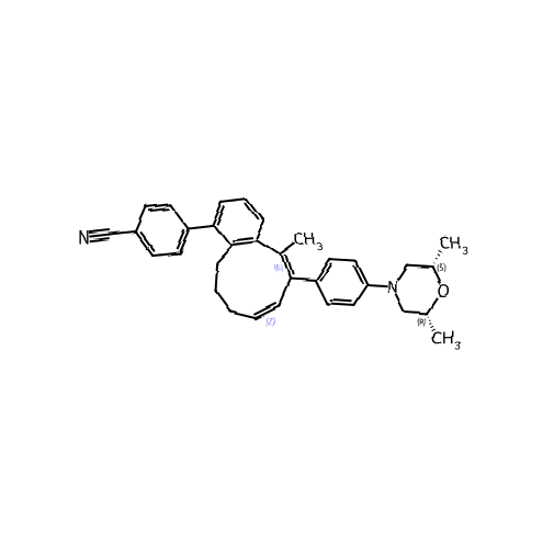 C/C1=C(c2ccc(N3C[C@@H](C)O[C@@H](C)C3)cc2)/C=C\CCCc2c1cccc2-c1ccc(C#N)cc1